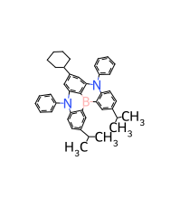 CC(C)c1ccc2c(c1)B1c3cc(C(C)C)ccc3N(c3ccccc3)c3cc(C4CCCCC4)cc(c31)N2c1ccccc1